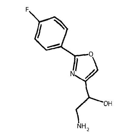 NCC(O)c1coc(-c2ccc(F)cc2)n1